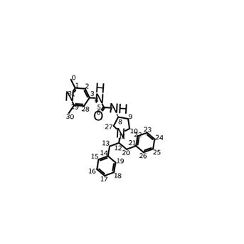 Cc1cc(NC(=O)N[C@@H]2CCN(C(Cc3ccccc3)Cc3ccccc3)C2)cc(C)n1